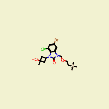 CC1(O)CC(n2c(=O)n(COCC[Si](C)(C)C)c3cc(Br)cc(Cl)c32)C1